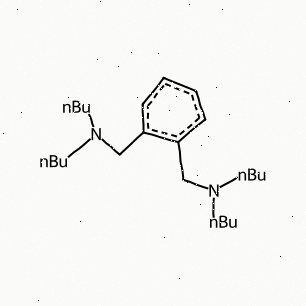 CCCCN(CCCC)Cc1ccccc1CN(CCCC)CCCC